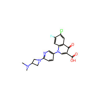 CN(C)C1CN(c2ccc(-n3cc(C(=O)O)c(=O)c4cc(Cl)c(F)cc43)cn2)C1